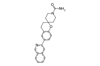 NC(=O)N1CCC2(CCc3cc(-c4cc5ccccc5cn4)ccc3O2)CC1